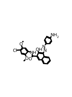 COc1cc(NC(=O)c2cc3ccccc3c(N=Nc3ccc(N)cc3)c2O)c(OC)cc1Cl